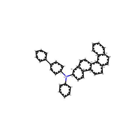 c1ccc(-c2ccc(N(c3ccccc3)c3ccc4c(ccc5c4ccc4ccc6ccccc6c45)c3)cc2)cc1